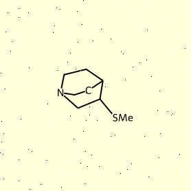 [CH2]SC1CN2CCC1CC2